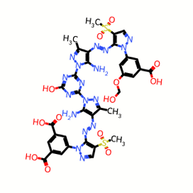 Cc1nn(-c2nc(O)nc(-n3nc(C)c(N=Nc4c(S(C)(=O)=O)cnn4-c4cc(C(=O)O)cc(C(=O)O)c4)c3N)n2)c(N)c1N=Nc1c(S(C)(=O)=O)cnn1-c1cc(OCO)cc(C(=O)O)c1